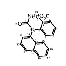 NC(=O)N(c1ccccc1C(=O)O)c1cccc2ccccc12